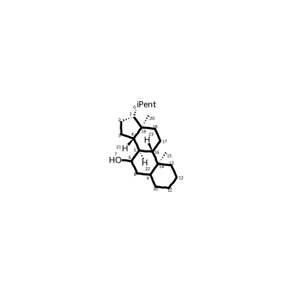 CCC[C@@H](C)[C@H]1CC[C@H]2[C@@H]3C(O)CC4C[CH]CC[C@]4(C)[C@H]3CC[C@]12C